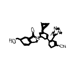 Cn1cnnc1-c1cc(C#N)ccc1-c1cc(C2CC2)cc(N2Cc3ccc(CO)cc3C2=O)c1